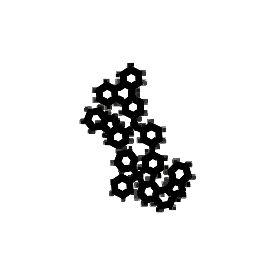 c1ccc([Si]2(c3ccccc3)c3cc(-c4cccc(N(c5ccc6c7ccccc7c7ccccc7c6c5)c5cccc6c5sc5ccccc56)c4)ccc3-c3c2ccc2ccc4sc5ccccc5c4c32)cc1